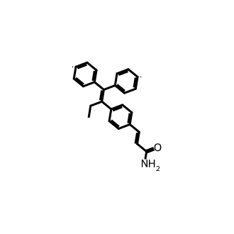 CCC(=C(c1cc[c]cc1)c1cc[c]cc1)c1ccc(/C=C/C(N)=O)cc1